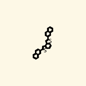 c1ccc2cc(-c3cc4c(ccc5sc(-c6ccc7ccccc7c6)cc54)s3)ccc2c1